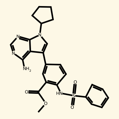 COC(=O)c1cc(-c2cn(C3CCCC3)c3ncnc(N)c23)ccc1NS(=O)(=O)c1ccccc1